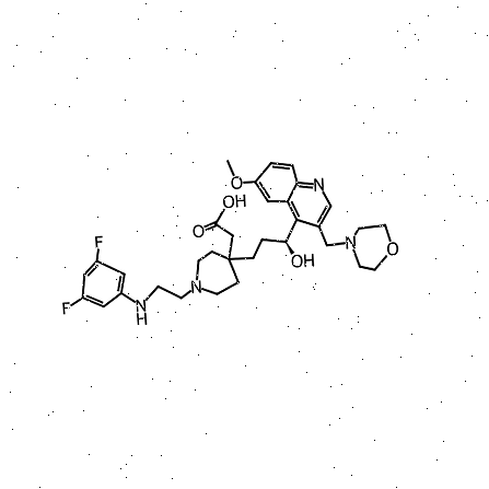 COc1ccc2ncc(CN3CCOCC3)c([C@@H](O)CCC3(CC(=O)O)CCN(CCNc4cc(F)cc(F)c4)CC3)c2c1